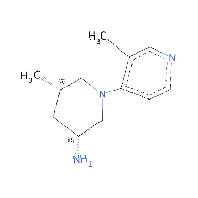 Cc1cnccc1N1C[C@@H](C)C[C@@H](N)C1